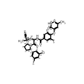 Cc1cc(Oc2c(F)cc(C(=O)NC(C)C(=O)N3[C@H](c4cc(F)cc(Cl)c4)CC[C@@H]3C(C)(C)C#N)cc2F)c(=O)[nH]n1